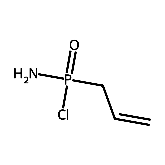 C=CCP(N)(=O)Cl